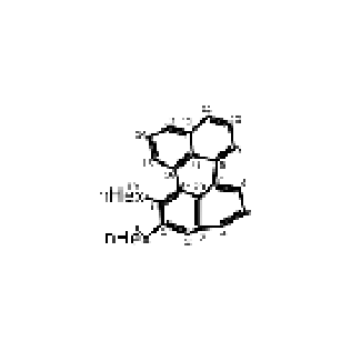 CCCCCCc1cc2cccc3c4cccc5cccc(c(c1CCCCCC)c23)c54